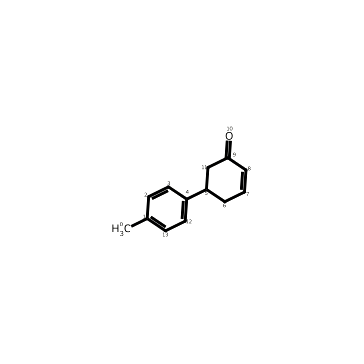 Cc1ccc(C2CC=CC(=O)C2)cc1